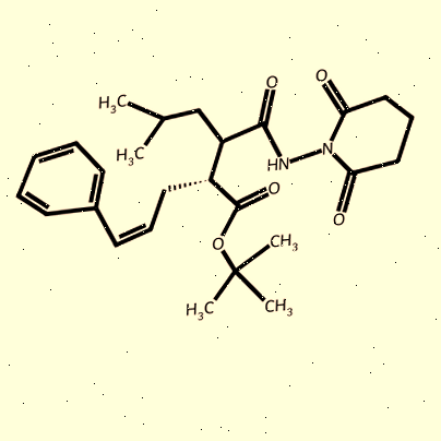 CC(C)CC(C(=O)NN1C(=O)CCCC1=O)[C@@H](C/C=C\c1ccccc1)C(=O)OC(C)(C)C